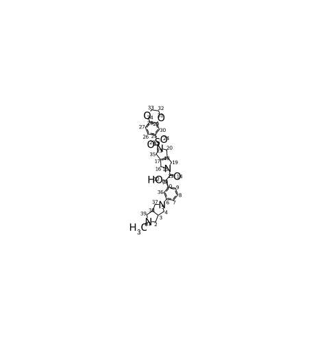 CN1CC2CN(c3cccc([C@H](O)C(=O)N4CC5=C(C4)CN(S(=O)(=O)c4ccc6c(c4)OCCO6)C5)c3)CC2C1